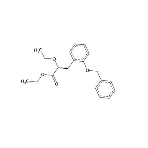 CCOC(=O)[C@H](Cc1ccccc1OCc1ccccc1)OCC